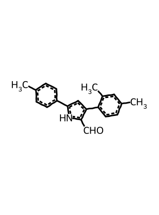 Cc1ccc(-c2cc(-c3ccc(C)cc3C)c(C=O)[nH]2)cc1